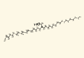 CCCCCCCCCCCCCCCCCCC(CO)CCCCCCCCCCCCCCCCC